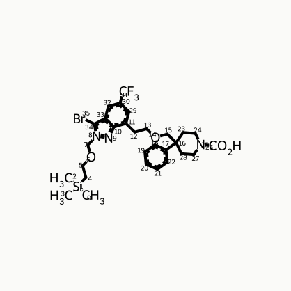 C[Si](C)(C)CCOCn1nc2c(CCOCC3(c4ccccc4)CCN(C(=O)O)CC3)cc(C(F)(F)F)cc2c1Br